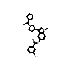 Cn1cc(C2CCN(C(=O)C3CCCC3)C2)c2cc(NC(=O)c3cccc(C#N)c3)ccc21